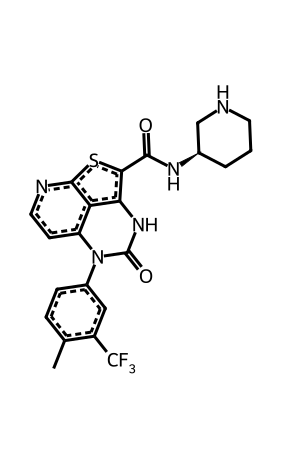 Cc1ccc(N2C(=O)Nc3c(C(=O)N[C@@H]4CCCNC4)sc4nccc2c34)cc1C(F)(F)F